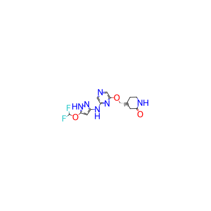 O=C1C[C@H](COc2cncc(Nc3cc(OC(F)F)[nH]n3)n2)CCN1